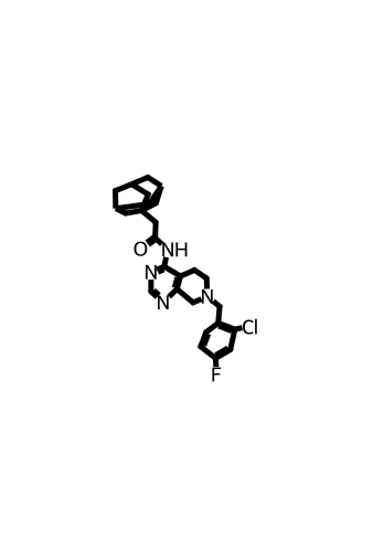 O=C(CC12CC3CC(CC(C3)C1)C2)Nc1ncnc2c1CCN(Cc1ccc(F)cc1Cl)C2